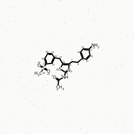 CC(=O)Nc1nc(CCc2ccc(N)cc2)c(Cc2cccc(S(C)(=O)=O)c2)s1